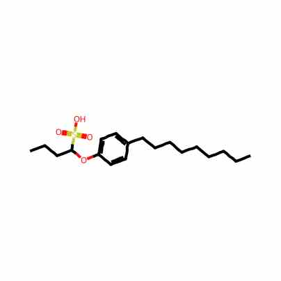 CCCCCCCCCc1ccc(OC(CCC)S(=O)(=O)O)cc1